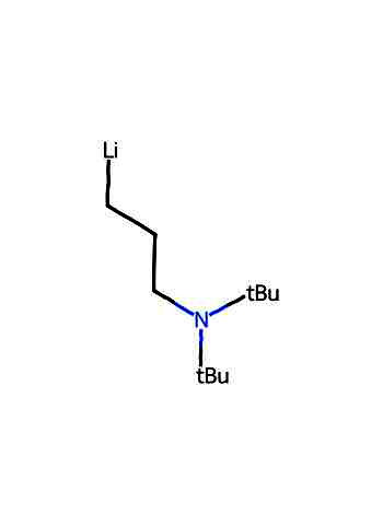 [Li][CH2]CCN(C(C)(C)C)C(C)(C)C